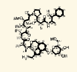 CCC(C)[C@@H]([C@@H](CC(=O)N1CCC[C@H]1[C@H](OC)[C@@H](C)C(=O)NC(C)C(O)c1ccccc1)OC)N(C)C(=O)[C@@H](NC(=O)[C@H](C(C)C)N(C)C(=O)OCc1ccc(O[C@H]2C[C@@H](O)[C@@H](O)[C@@H](CO)O2)c2cc(CN)oc12)C(C)C